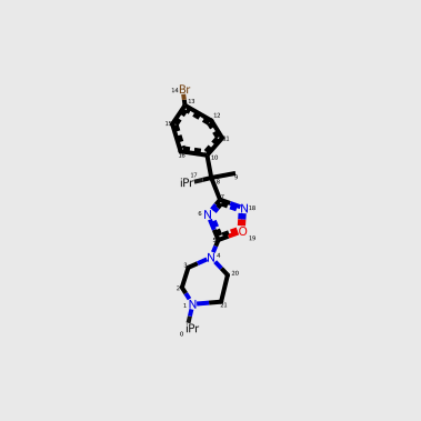 CC(C)N1CCN(c2nc(C(C)(c3ccc(Br)cc3)C(C)C)no2)CC1